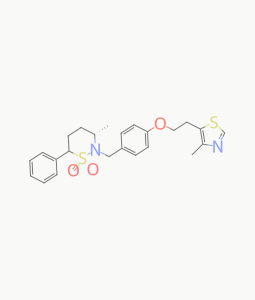 Cc1ncsc1CCOc1ccc(CN2[C@@H](C)CCC(c3ccccc3)S2(=O)=O)cc1